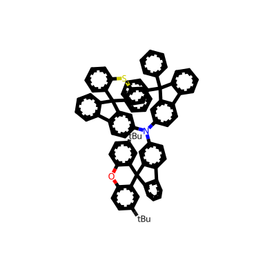 CC(C)(C)c1ccc2c(c1)C1(c3cc(C(C)(C)C)ccc3O2)c2ccccc2-c2ccc(N(c3ccc4c(c3)C(c3ccccc3)(c3ccccc3)c3ccccc3-4)c3ccc4c(c3)C3(c5ccccc5Sc5ccccc53)c3ccccc3-4)cc21